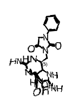 N=C1NC2[C@H](CN3C(=O)CN(c4ccccc4)C3=O)NC(=N)N3CCC(O)(O)C23N1